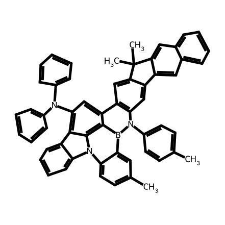 Cc1ccc(N2B3c4cc(C)ccc4-n4c5ccccc5c5c(N(c6ccccc6)c6ccccc6)cc(c3c54)-c3cc4c(cc32)-c2cc3ccccc3cc2C4(C)C)cc1